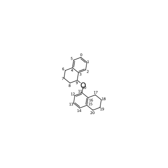 c1ccc2c(c1)CCCC2Oc1cccc2c1CCCC2